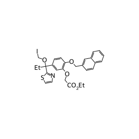 CCOC(=O)COc1cc(C(CC)(OCI)c2nccs2)ccc1OCc1ccc2ccccc2c1